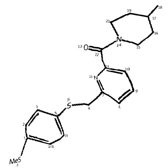 CSc1ccc(SCc2cccc(C(=O)N3CCC(C)CC3)n2)cc1